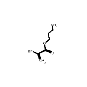 C=C(CCC)C(=O)OCCCN